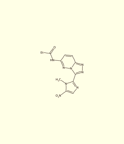 CCC(=O)Nc1ccc2nnc(-c3ncc([N+](=O)[O-])n3C)n2n1